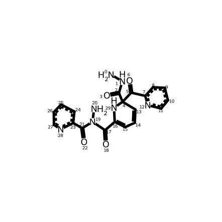 NNC(=O)C1(C(=O)c2ccccn2)C=CC=C(C(=O)N(N)C(=O)c2ccccn2)N1